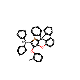 Cc1ccccc1Oc1c([SiH](c2ccccc2)c2ccccc2)sc2c1Oc1ccccc1[Si]2(c1ccccc1)c1ccccc1